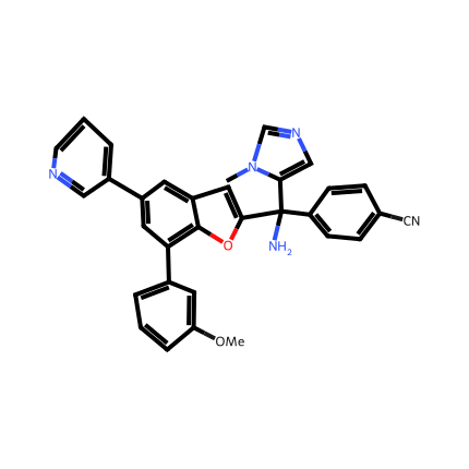 COc1cccc(-c2cc(-c3cccnc3)cc3cc(C(N)(c4ccc(C#N)cc4)c4cncn4C)oc23)c1